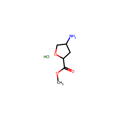 COC(=O)C1CC(N)CO1.Cl